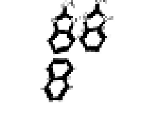 Cc1nc2ccccc2o1.Cc1nc2ccccc2o1.c1ccc2ccccc2c1